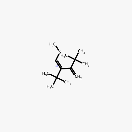 C=C(/C(=C\SC)C(C)(C)C)C(C)(C)C